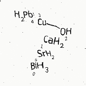 [BiH3].[CaH2].[OH][Cu].[PbH2].[SrH2]